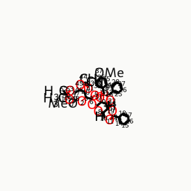 COCO[C@H](C(O)O[C@@H]1O[C@@H]2COC(c3ccccc3)O[C@H]2[C@H](OCc2ccccc2)[C@@H]1OCc1ccc(OC)cc1)[C@H]1OC(C)(C)O[C@@H]1[C@@H]1COC(C)(C)O1